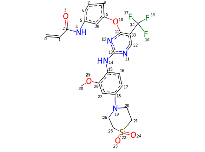 C=CC(=O)Nc1cccc(Oc2nc(Nc3ccc(N4CCS(=O)(=O)CC4)cc3OC)ncc2C(F)(F)F)c1